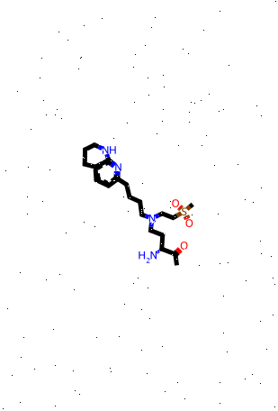 CC(=O)[C@@H](N)CCN(CCCCc1ccc2c(n1)NCCC2)CCS(C)(=O)=O